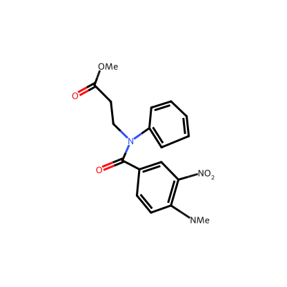 CNc1ccc(C(=O)N(CCC(=O)OC)c2ccccc2)cc1[N+](=O)[O-]